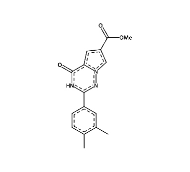 COC(=O)c1cc2c(=O)[nH]c(-c3ccc(C)c(C)c3)nn2c1